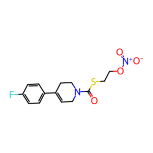 O=C(SCCO[N+](=O)[O-])N1CC=C(c2ccc(F)cc2)CC1